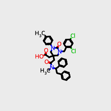 Cc1ccc(N2CC(CC(=O)O)(CC(=O)N(C)C(Cc3ccccc3)c3ccccc3)CN(Cc3ccc(Cl)cc3Cl)C2=O)cc1